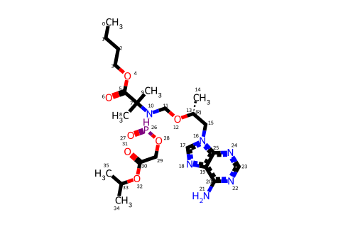 CCCCOC(=O)C(C)(C)N(CO[C@H](C)Cn1cnc2c(N)ncnc21)[PH](=O)OCC(=O)OC(C)C